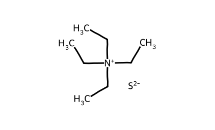 CC[N+](CC)(CC)CC.[S-2]